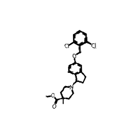 COC(=O)C1(C)CCN(C2CCc3cc(OCc4c(Cl)cccc4Cl)ccc32)CC1